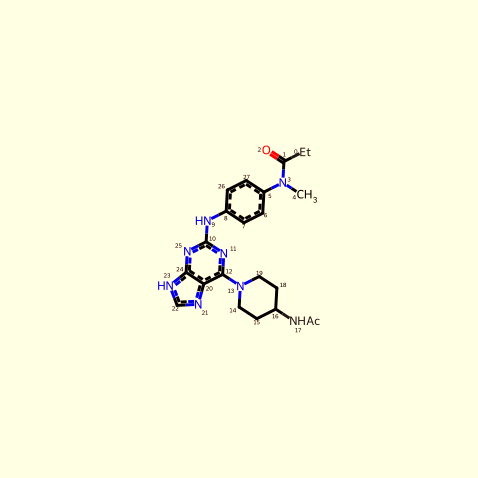 CCC(=O)N(C)c1ccc(Nc2nc(N3CCC(NC(C)=O)CC3)c3nc[nH]c3n2)cc1